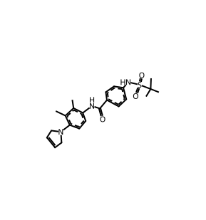 Cc1c(NC(=O)c2ccc(NS(=O)(=O)C(C)(C)C)cc2)ccc(N2CC=CC2)c1C